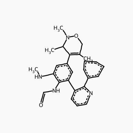 CNc1cc(C2=C(C)CON(C)C2C)cc(-c2cccnc2-c2ccccc2)c1NC=O